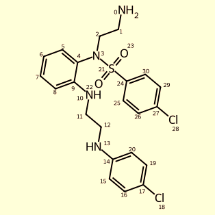 NCCN(c1ccccc1NCCNc1ccc(Cl)cc1)S(=O)(=O)c1ccc(Cl)cc1